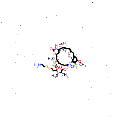 COc1cc2cc(c1Cl)N(C)C(=O)C[C@H](OC(=O)[C@H](C)N(C)C(=O)CCSSCCN)[C@@H](C)[C@@H](O)[C@H](C)[C@@H]1C[C@@](C)(NC(=O)O1)[C@H](OC)/C=C/C=C(\C)C2